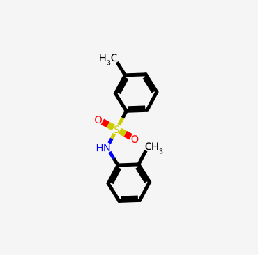 Cc1cccc(S(=O)(=O)Nc2ccccc2C)c1